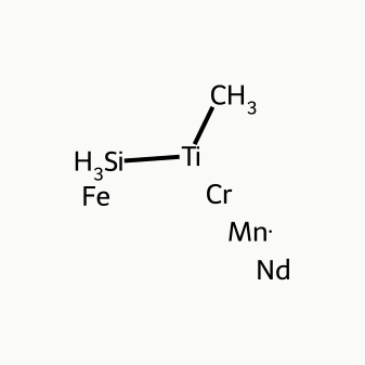 [CH3][Ti][SiH3].[Cr].[Fe].[Mn].[Nd]